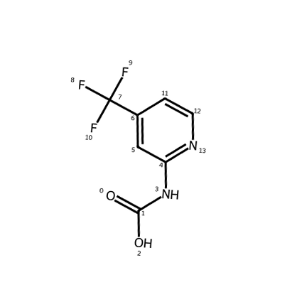 O=C(O)Nc1cc(C(F)(F)F)ccn1